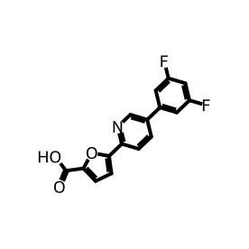 O=C(O)c1ccc(-c2ccc(-c3cc(F)cc(F)c3)cn2)o1